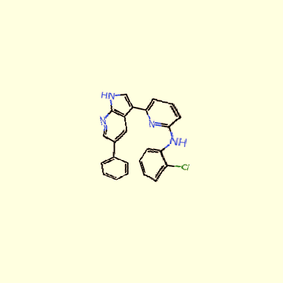 Clc1ccccc1Nc1cccc(-c2c[nH]c3ncc(-c4ccccc4)cc23)n1